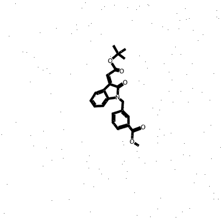 COC(=O)c1cccc(CN2C(=O)C(=CC(=O)OC(C)(C)C)c3ccccc32)c1